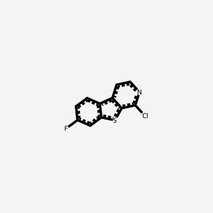 Fc1ccc2c(c1)sc1c(Cl)nccc12